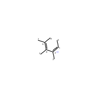 C/C=C(/C)C(C)=C(C)C